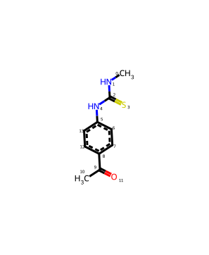 CNC(=S)Nc1ccc(C(C)=O)cc1